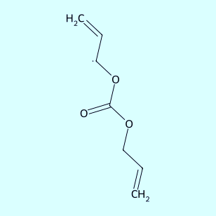 C=C[CH]OC(=O)OCC=C